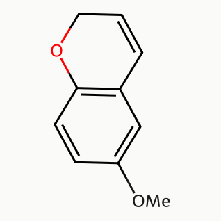 COc1ccc2c(c1)C=CCO2